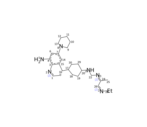 C/C=N\c1c(N)cc(N2CCCCC2)cc1CC1CCC(NC/N=C(C)\C=N/CC)CC1